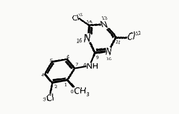 Cc1c(Cl)cccc1Nc1nc(Cl)nc(Cl)n1